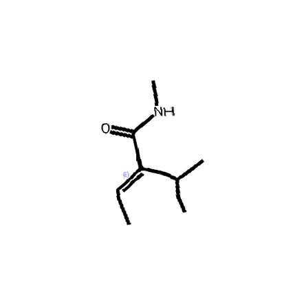 C/C=C(/C(=O)NC)C(C)C